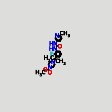 COC(=O)N1CCN(C(C)(C)c2cccc(NC(=O)Nc3ccc(C)nc3)c2F)CC1